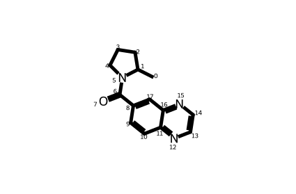 CC1CCCN1C(=O)c1ccc2nccnc2c1